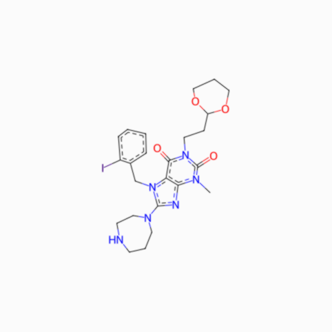 Cn1c(=O)n(CCC2OCCCO2)c(=O)c2c1nc(N1CCCNCC1)n2Cc1ccccc1I